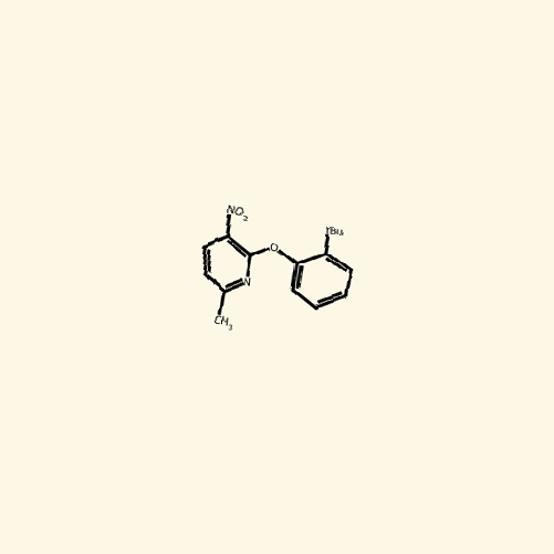 Cc1ccc([N+](=O)[O-])c(Oc2ccccc2C(C)(C)C)n1